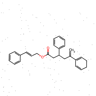 C=C(CC(CC(=O)OC/C=C/c1ccccc1)c1ccccc1)C1=CCCC=C1